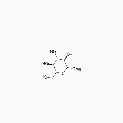 COC1OC(CO)[C@@H](O)C(O)[C@H]1O